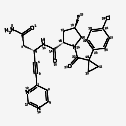 NC(=O)C[C@@H](C#Cc1ccncn1)NC(=O)[C@@H]1C[C@@H](F)CN1C(=O)C1(c2ccc(Cl)cc2)CC1